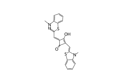 C=C(/C=C1/C(=O)C(/C=C2\Sc3ccccc3N2C)=C1O)Sc1ccccc1NC